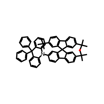 CC(C)(C)c1ccc2c(c1)C1(c3cc(N4c5ccccc5C(c5ccccc5)(c5ccccc5)c5ccccc54)ccc3-2)c2cc(C(C)(C)C)ccc2-c2ccc(C(C)(C)C)cc21